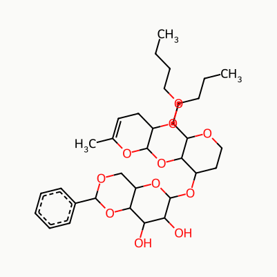 CCCCOCC1OCCC(OC2OC3COC(c4ccccc4)OC3C(O)C2O)C1OC1OC(C)=CCC1OCCCC